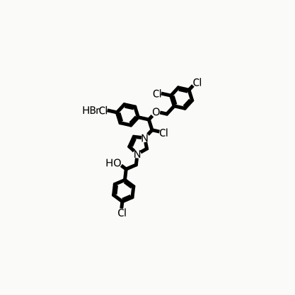 Br.OC(CN1C=CN(C(Cl)C(OCc2ccc(Cl)cc2Cl)c2ccc(Cl)cc2)C1)c1ccc(Cl)cc1